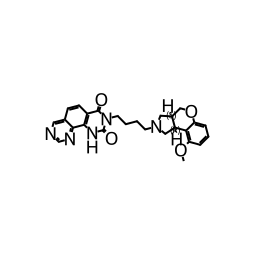 COc1cccc2c1[C@@H]1CN(CCCCn3c(=O)[nH]c4c(ccc5cncnc54)c3=O)C[C@H]1CO2